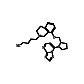 N#CCCCCN1CCc2cccc(OCC3CCCN3c3ccnc4ncnn34)c2C1